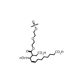 CCCCCCCCC(/C=C\CCCCCCC(=O)O)C(CC(=O)O)C(=O)OCCOCCOP(C)(C)=O